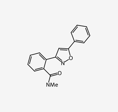 CNC(=O)c1ccccc1-c1cc(-c2ccccc2)on1